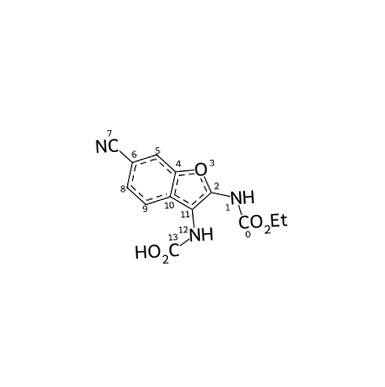 CCOC(=O)Nc1oc2cc(C#N)ccc2c1NC(=O)O